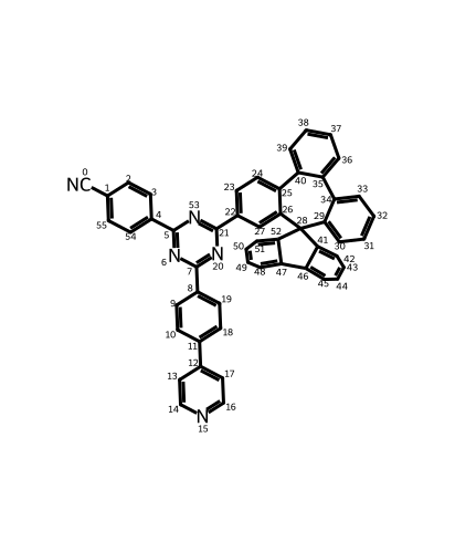 N#Cc1ccc(-c2nc(-c3ccc(-c4ccncc4)cc3)nc(-c3ccc4c(c3)C3(c5ccccc5-c5ccccc5-4)c4ccccc4-c4ccccc43)n2)cc1